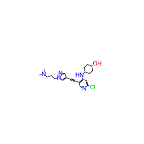 CN(C)CCCn1cc(C#Cc2cnc(Cl)cc2NC2CCC(O)CC2)cn1